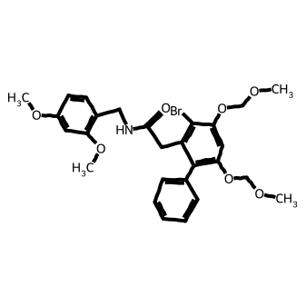 COCOc1cc(OCOC)c(-c2ccccc2)c(CC(=O)NCc2ccc(OC)cc2OC)c1Br